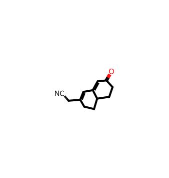 N#CCC1=CC2=CC(=O)CCC2CC1